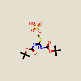 CSC(=NC(=O)OC(C)(C)C)NC(=O)OC(C)(C)C.O=S(=O)(O)O